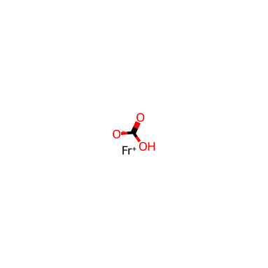 O=C([O-])O.[Fr+]